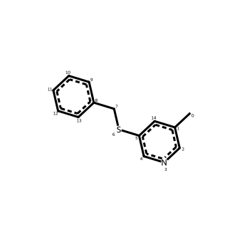 Cc1cncc(SCc2ccccc2)c1